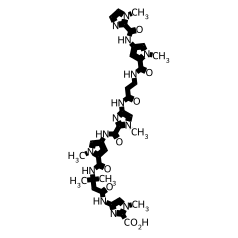 Cn1cc(NC(=O)c2nccn2C)cc1C(=O)NCCC(=O)Nc1cn(C)c(C(=O)Nc2cc(C(=O)NC(C)(C)CC(=O)Nc3cn(C)c(C(=O)O)n3)n(C)c2)n1